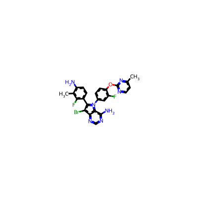 Cc1ccnc(Oc2ccc(-n3c(-c4ccc(N)c(C)c4F)c(Br)c4ncnc(N)c43)cc2F)n1